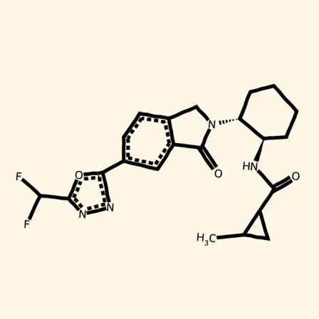 CC1CC1C(=O)N[C@@H]1CCCC[C@H]1N1Cc2ccc(-c3nnc(C(F)F)o3)cc2C1=O